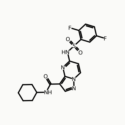 O=C(NC1CCCCC1)c1cnn2ccc(NS(=O)(=O)c3cc(F)ccc3F)nc12